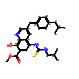 COC(=O)c1cc(NC(=S)NCC(C)C)c2cc(Cc3ccc(CC(C)C)cc3)cnc2c1O